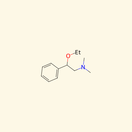 CCOC(CN(C)C)c1ccccc1